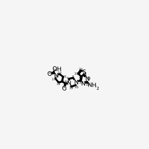 Nc1nc(N2CCN(C(=O)C3CCN(C(=O)O)CC3)CC2)c2ccsc2n1